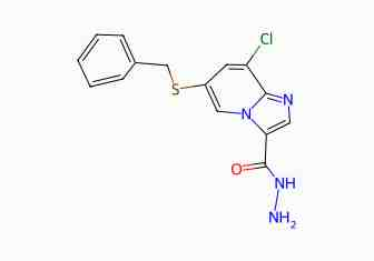 NNC(=O)c1cnc2c(Cl)cc(SCc3ccccc3)cn12